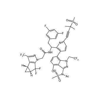 CC(=O)N(c1nn(CC(F)(F)F)c2c(-c3ccc(C#CC(C)(C)S(C)(=O)=O)nc3C(Cc3cc(F)cc(F)c3)NC(=O)Cn3nc(C(F)(F)F)c4c3C(F)(F)[C@@H]3C[C@H]43)ccc(Cl)c12)S(C)(=O)=O